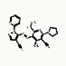 CNc1nc(N2CCCC2)c(C#N)c(C)c1/N=N/c1c(C#N)cnn1-c1ccccn1